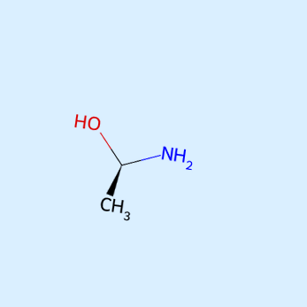 C[C@H](N)O